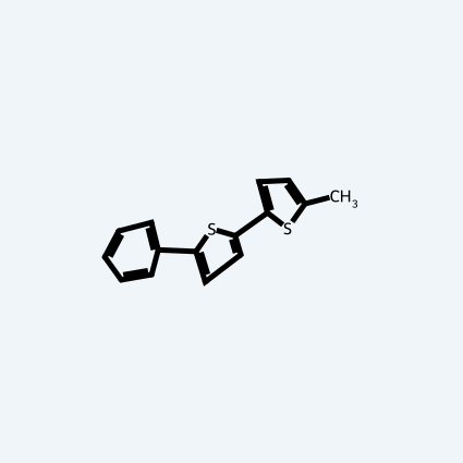 Cc1ccc(-c2ccc(-c3ccccc3)s2)s1